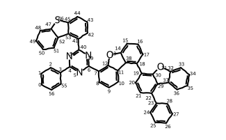 c1ccc(-c2nc(-c3cccc4c3oc3cccc(-c5ccc(-c6ccccc6)c6c5oc5ccccc56)c34)nc(-c3cccc4sc5ccccc5c34)n2)cc1